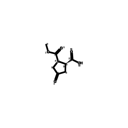 COC(=O)N1CC(=O)C[C@H]1C(=O)O